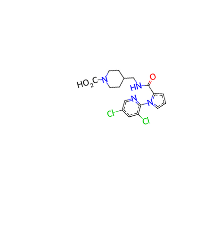 O=C(NCC1CCN(C(=O)O)CC1)c1cccn1-c1ncc(Cl)cc1Cl